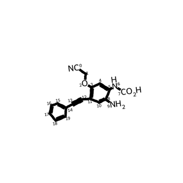 N#CCOc1cc(NC(=O)O)c(N)cc1C#Cc1ccccc1